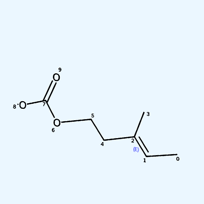 C/C=C(\C)CCOC([O])=O